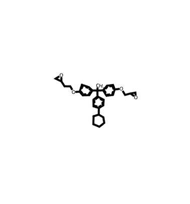 CC(c1ccc(OCCC2CO2)cc1)(c1ccc(OCC2CO2)cc1)c1ccc(C2CCCCC2)cc1